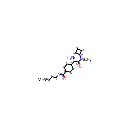 CSCCCNC(=O)C1CCC([C@H](N)C(=O)N(C)C2CCC2)CC1